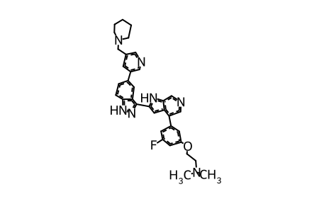 CN(C)CCOc1cc(F)cc(-c2cncc3[nH]c(-c4n[nH]c5ccc(-c6cncc(CN7CCCCC7)c6)cc45)cc23)c1